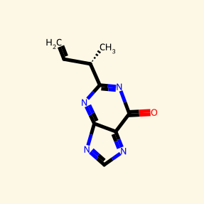 C=C[C@H](C)C1=NC(=O)C2=NC=NC2=N1